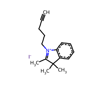 C#CCCC[N+]1=C(C)C(C)(C)c2ccccc21.[I-]